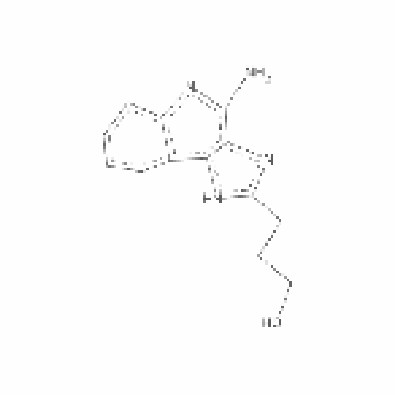 Nc1nc2ccccc2c2[nH]c(CCCO)nc12